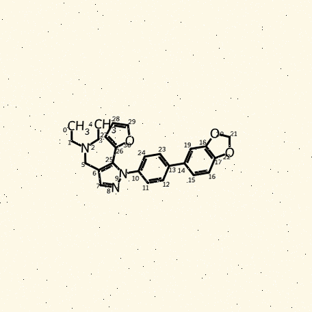 CCN(CC)Cc1cnn(-c2ccc(-c3ccc4c(c3)OCO4)cc2)c1-c1ccco1